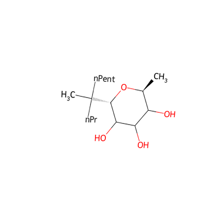 CCCCCC(C)(CCC)[C@@H]1O[C@@H](C)C(O)C(O)C1O